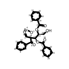 O=C[C@](OBr)(C(=O)c1ccccc1)[C@H](OC(=O)c1ccccc1)[C@H](CO)OC(=O)c1ccccc1